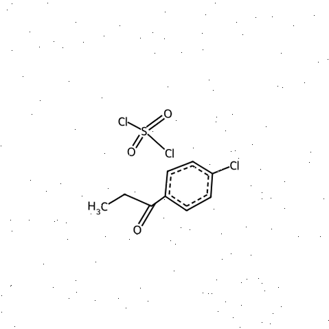 CCC(=O)c1ccc(Cl)cc1.O=S(=O)(Cl)Cl